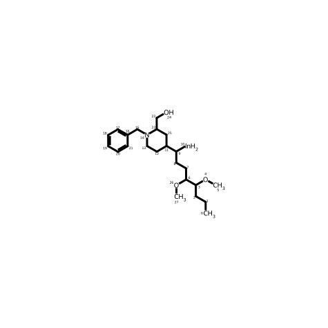 CCCC(OC)C(CC[CH]([InH2])C1CCN(Cc2ccccc2)C(CO)C1)OC